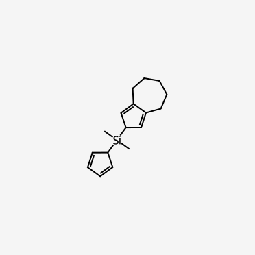 C[Si](C)(C1C=CC=C1)C1C=C2CCCCCC2=C1